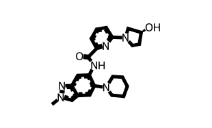 Cn1cc2cc(N3CCCCC3)c(NC(=O)c3cccc(N4CC[C@H](O)C4)n3)cc2n1